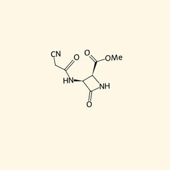 COC(=O)[C@H]1NC(=O)[C@H]1NC(=O)CC#N